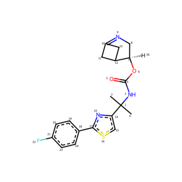 CC(C)(NC(=O)O[C@@H]1CN=C2CC1C2)c1csc(-c2ccc(F)cc2)n1